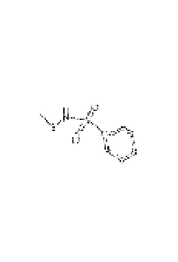 CSNS(=O)(=O)c1ccccc1